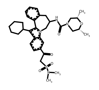 C[C@@H]1CN(C(=O)NC2Cc3ccccc3-c3c(C4CCCCC4)c4ccc(C(=O)CS(=O)(=O)N(C)C)cc4n3C2)C[C@H](C)O1